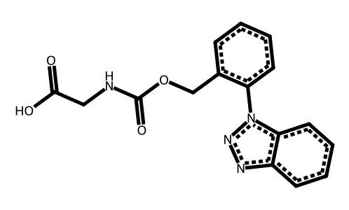 O=C(O)CNC(=O)OCc1ccccc1-n1nnc2ccccc21